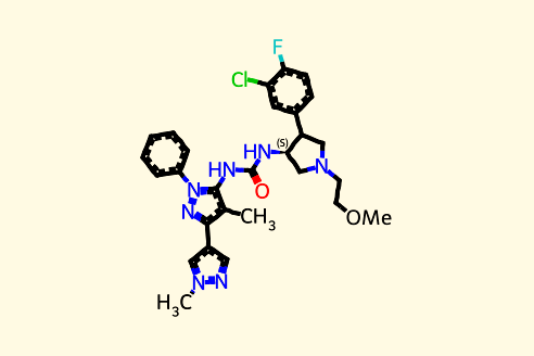 COCCN1CC(c2ccc(F)c(Cl)c2)[C@H](NC(=O)Nc2c(C)c(-c3cnn(C)c3)nn2-c2ccccc2)C1